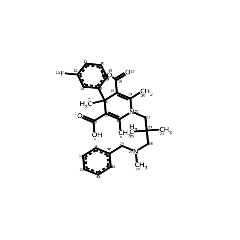 CC1=C(C(=O)O)C(C)(c2cccc(F)c2)C(C(=O)O)=C(C)N1CC(C)(C)CN(C)Cc1ccccc1